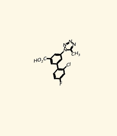 Cc1nnnn1-c1cc(C(=O)O)cc(-c2ccc(F)cc2Cl)c1